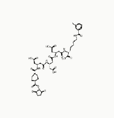 O=C(O)C[C@@H](CC(=O)N[C@@H](CC(=O)O)CC(=O)N[C@H](CCCCCNC(=O)c1cccc(I)c1)C(=O)O)NC(=O)C[C@H](CC(=O)O)NC(=O)[C@H]1CC[C@H](C(=O)ON2C(=O)CCC2=O)CC1